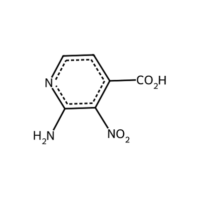 Nc1nccc(C(=O)O)c1[N+](=O)[O-]